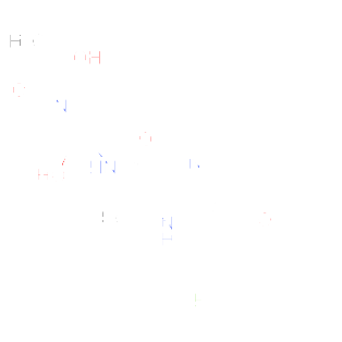 Cc1[nH]c2c(-c3cc(F)ccc3OCC3CC3)ccnc2c1C(=O)N[C@@H]1CCN(C(=O)[C@H](C)O)C[C@@H]1O